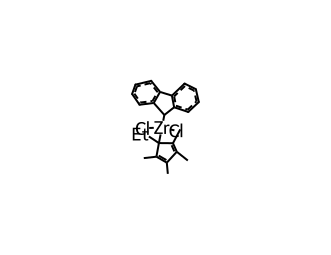 CC[C]1([Zr]([Cl])([Cl])[CH]2c3ccccc3-c3ccccc32)C(C)=C(C)C(C)=C1C